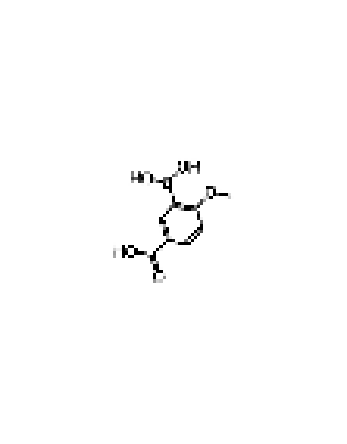 COc1ccc(C(=O)O)cc1B(O)O